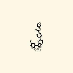 COc1ncc(F)cc1-c1cnn2ccc(N3CCN(C(=O)O[C@@H]4CCOC4)CC3)nc12